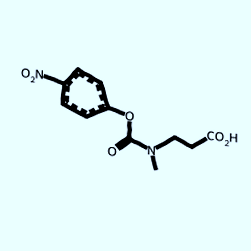 CN(CCC(=O)O)C(=O)Oc1ccc([N+](=O)[O-])cc1